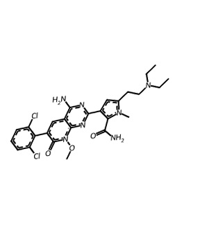 CCN(CC)CCc1cc(-c2nc(N)c3cc(-c4c(Cl)cccc4Cl)c(=O)n(OC)c3n2)c(C(N)=O)n1C